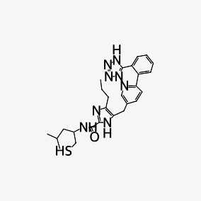 CCCc1nc(C(=O)NC(CS)CC(C)C)[nH]c1Cc1ccc(-c2ccccc2-c2nnn[nH]2)nc1